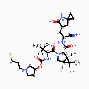 CC(C)(C)[C@H](NC(=O)OC1CCN(CCCF)C1)C(=O)N1C[C@H]2[C@@H]([C@H]1C(=O)N[C@H](C#N)C[C@@H]1CC3(CC3)NC1=O)C2(C)C